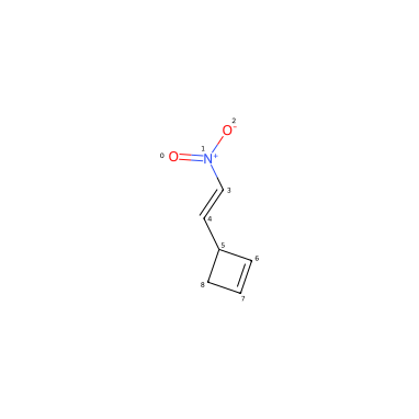 O=[N+]([O-])C=CC1C=CC1